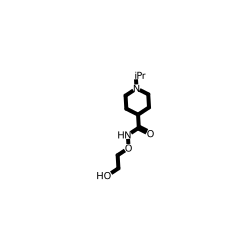 CC(C)N1CCC(C(=O)NOCCO)CC1